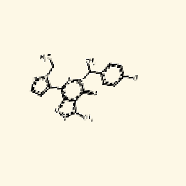 CCn1nccc1-c1nn(C(C)c2ccc(Cl)cc2)c(=O)c2c(C)noc12